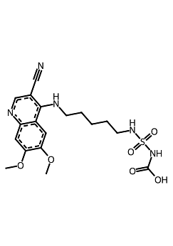 COc1cc2ncc(C#N)c(NCCCCCNS(=O)(=O)NC(=O)O)c2cc1OC